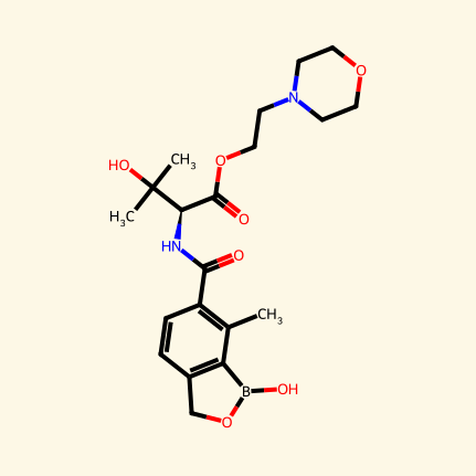 Cc1c(C(=O)N[C@H](C(=O)OCCN2CCOCC2)C(C)(C)O)ccc2c1B(O)OC2